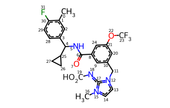 Cc1cc(C(NC(=O)c2cc(Cn3ccn(C)/c3=N\C(=O)O)cc(OC(F)(F)F)c2)C2CC2)ccc1F